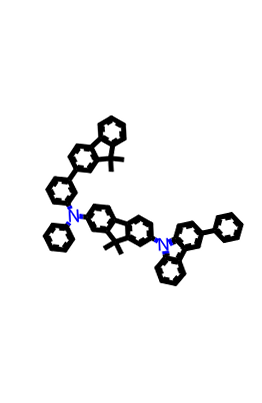 CC1(C)c2ccccc2-c2ccc(-c3cccc(N(c4ccccc4)c4ccc5c(c4)C(C)(C)c4cc(-n6c7ccccc7c7cc(-c8ccccc8)ccc76)ccc4-5)c3)cc21